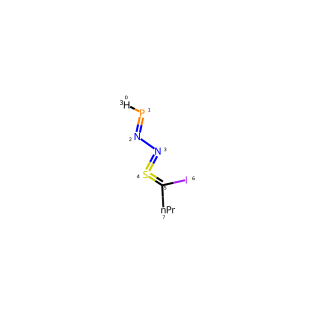 [3H]/P=N/N=S=C(I)CCC